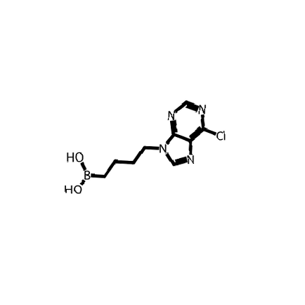 OB(O)CCCCn1cnc2c(Cl)ncnc21